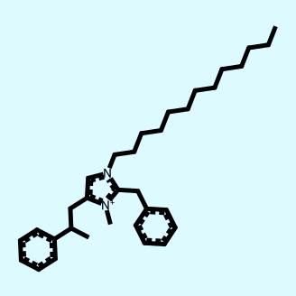 CCCCCCCCCCCCCn1cc(CC(C)c2ccccc2)[n+](C)c1Cc1ccccc1